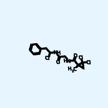 CC1(C(=O)NCC(=O)NC(Cl)Cc2ccccc2)CC1(Cl)Cl